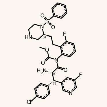 COC(=O)N(C(=O)[C@@H](N)[C@@H](c1ccc(Cl)cc1)c1cncc(F)c1)c1cccc(F)c1CC[C@H]1CNCCN1S(=O)(=O)c1ccccc1